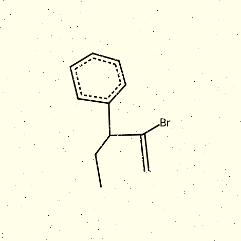 [CH]=C(Br)C(CC)c1ccccc1